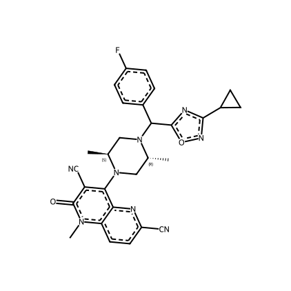 C[C@@H]1CN(c2c(C#N)c(=O)n(C)c3ccc(C#N)nc23)[C@@H](C)CN1C(c1ccc(F)cc1)c1nc(C2CC2)no1